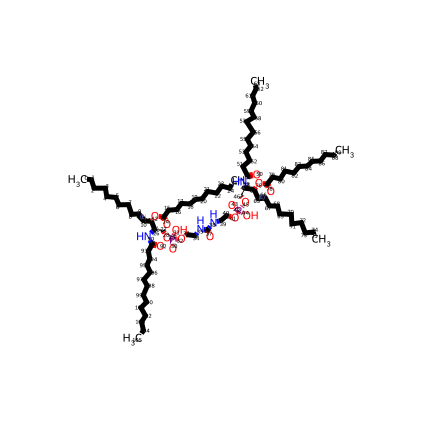 CCCCCCCCC/C=C/C(OC(=O)CCCCCCCCCCC)[C@H](COP(=O)(O)OCCNC(=O)NCCOP(=O)(O)OC[C@H](NC(=O)CCCCCCCCCCCCC)C(/C=C/CCCCCCCCC)OC(=O)CCCCCCCCCCC)NC(=O)CCCCCCCCCCCCC